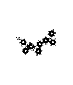 N#Cc1ccc(-n2c3ccccc3c3cc(-n4c5ccccc5c5cc(-c6ccc7c(c6)c6ccccc6n7-c6ccccc6)ccc54)ncc32)cc1